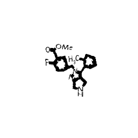 COC(=O)c1cc(Cn2nc3c(c2-c2ccccc2C)CNC3)ccc1F